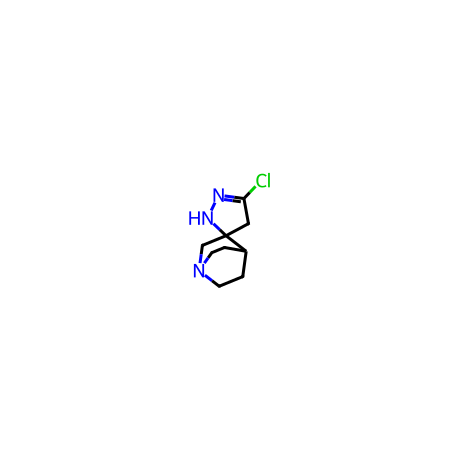 ClC1=NNC2(C1)CN1CCC2CC1